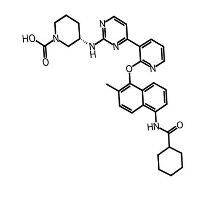 Cc1ccc2c(NC(=O)C3CCCCC3)cccc2c1Oc1ncccc1-c1ccnc(N[C@H]2CCCN(C(=O)O)C2)n1